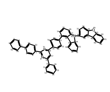 c1ccc(-c2ccc(-c3nc(-c4ccccc4)cc(-c4ccc(-c5cccc6c5c5ccccc5n6-c5ccc6oc7ccccc7c6c5)cc4)n3)cc2)cc1